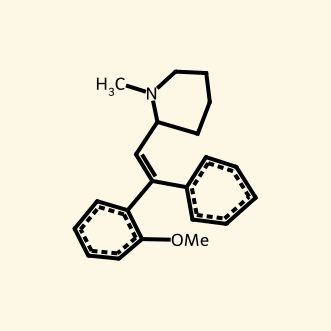 COc1ccccc1/C(=C/C1CCCCN1C)c1ccccc1